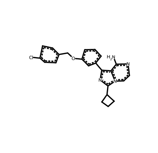 Nc1nccn2c(C3CCC3)nc(-c3cccc(OCc4ccc(Cl)cc4)c3)c12